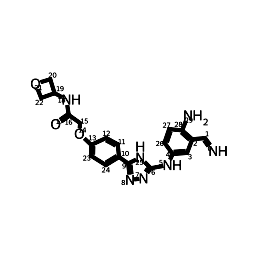 N=Cc1cc(Nc2nnc(-c3ccc(OCC(=O)NC4COC4)cc3)[nH]2)ccc1N